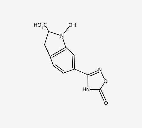 O=C(O)C1Cc2ccc(-c3noc(=O)[nH]3)cc2N1O